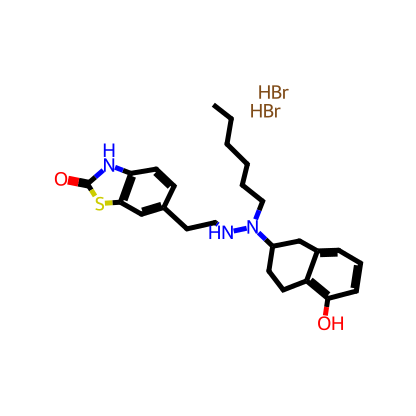 Br.Br.CCCCCCN(NCCc1ccc2[nH]c(=O)sc2c1)C1CCc2c(O)cccc2C1